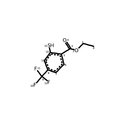 CCOC(=O)c1ccc(C(F)(F)F)cc1S